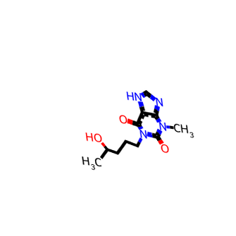 CC(O)CCCn1c(=O)c2[nH]cnc2n(C)c1=O